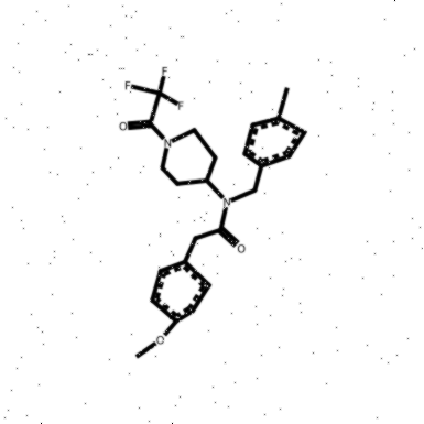 COc1ccc(CC(=O)N(Cc2ccc(C)cc2)C2CCN(C(=O)C(F)(F)F)CC2)cc1